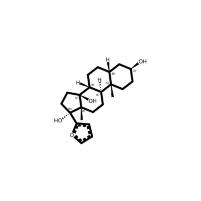 C[C@]12CC[C@H](O)C[C@H]1CC[C@@H]1[C@@H]2CC[C@]2(C)[C@@](O)(c3ccco3)CC[C@]12O